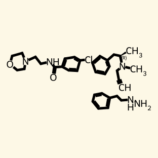 C#CCN(C)[C@H](C)Cc1ccccc1.NNCCc1ccccc1.O=C(NCCN1CCOCC1)c1ccc(Cl)cc1